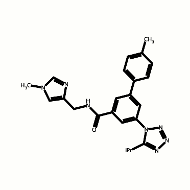 Cc1ccc(-c2cc(C(=O)NCc3cn(C)cn3)cc(-n3nnnc3C(C)C)c2)cc1